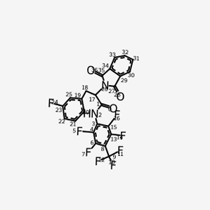 O=C(Nc1c(F)c(F)c(C(F)(F)F)c(F)c1F)C(Cc1cccc(F)c1)N1C(=O)c2ccccc2C1=O